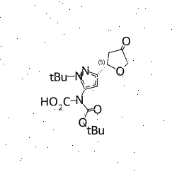 CC(C)(C)OC(=O)N(C(=O)O)c1cc([C@@H]2CC(=O)CO2)nn1C(C)(C)C